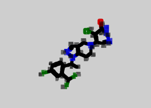 CC(c1ccc(F)cc1C(F)F)n1ncc2c1CCN(c1cn[nH]c(=O)c1Cl)C2